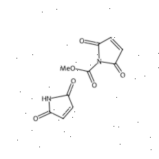 COC(=O)N1C(=O)C=CC1=O.O=C1C=CC(=O)N1